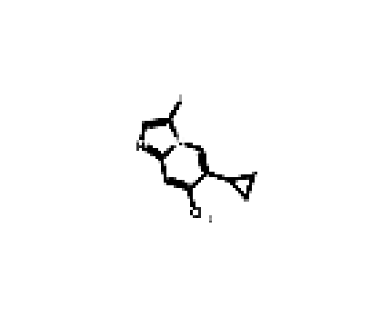 Cc1cc2ncc(I)n2cc1C1CC1